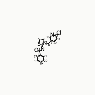 O=C(N=C1SCCN1Cc1ccc(Cl)nc1)c1ccccc1